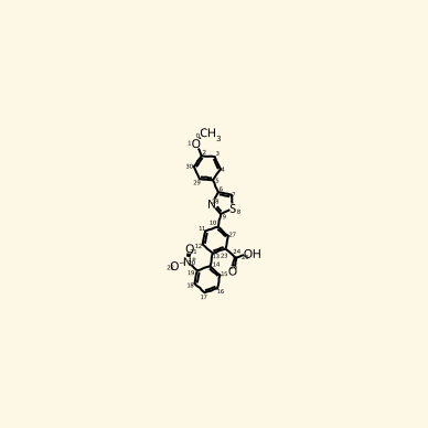 COc1ccc(-c2csc(-c3ccc(-c4ccccc4[N+](=O)[O-])c(C(=O)O)c3)n2)cc1